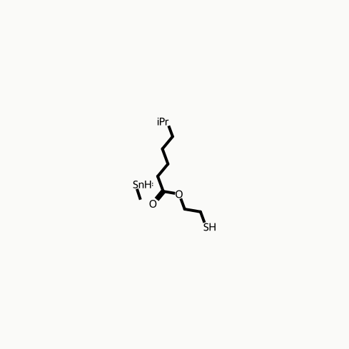 CC(C)CCCCC(=O)OCCS.[CH3][SnH]